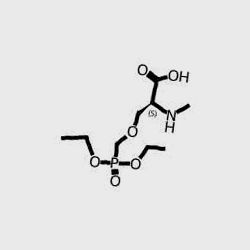 CCOP(=O)(COC[C@H](NC)C(=O)O)OCC